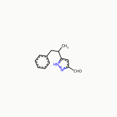 CC(Cc1ccccc1)c1cc(C=O)n[nH]1